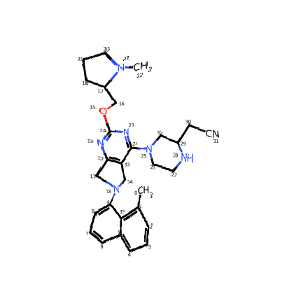 Cc1cccc2cccc(N3Cc4nc(OCC5CCCN5C)nc(N5CCNC(CC#N)C5)c4C3)c12